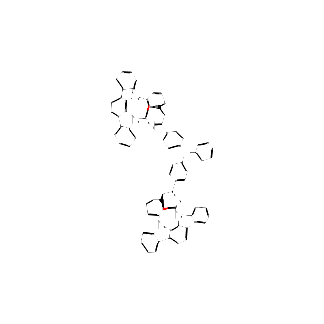 c1ccc(B(c2ccc(-c3cccc(-n4c5ccccc5c5ccc6c7ccccc7n(-c7ccccc7)c6c54)n3)cc2)c2ccc(-c3cccc(-n4c5ccccc5c5ccc6c7ccccc7n(-c7ccccc7)c6c54)n3)cc2)cc1